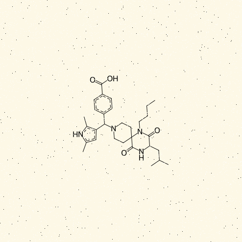 CCCCN1C(=O)C(CC(C)C)NC(=O)C12CCN(C(c1ccc(C(=O)O)cc1)c1cc(C)[nH]c1C)CC2